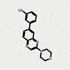 O=Nc1cccc(-c2ccc3ncc(N4CCOCC4)nc3c2)c1